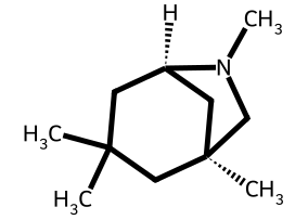 CN1C[C@]2(C)C[C@H]1CC(C)(C)C2